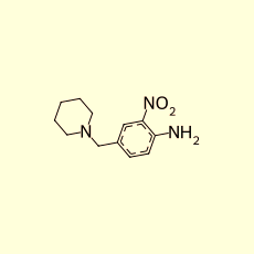 Nc1ccc(CN2CCCCC2)cc1[N+](=O)[O-]